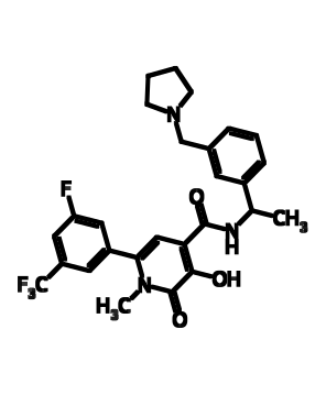 CC(NC(=O)c1cc(-c2cc(F)cc(C(F)(F)F)c2)n(C)c(=O)c1O)c1cccc(CN2CCCC2)c1